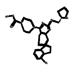 CC(C)(C)OC(=O)N1CCN(c2nc(OC[C@@H]3CCCN3)nc3c2CCC2(CCc4c(Cl)cccc42)C3)CC1